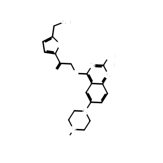 Cc1nc(SCC(=O)c2ccc(CN)s2)c2cc(N3CCN(C)CC3)ccc2n1.Cl